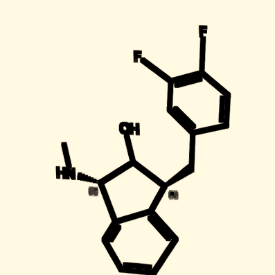 CN[C@H]1c2ccccc2[C@H](Cc2ccc(F)c(F)c2)C1O